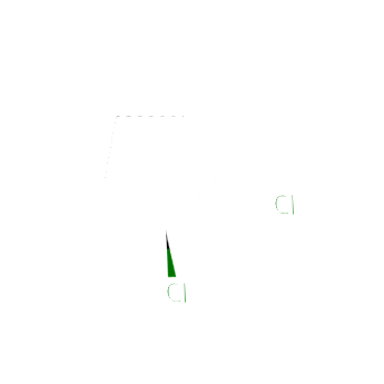 Cl[C@H]1CCC[C@@H]1Cl